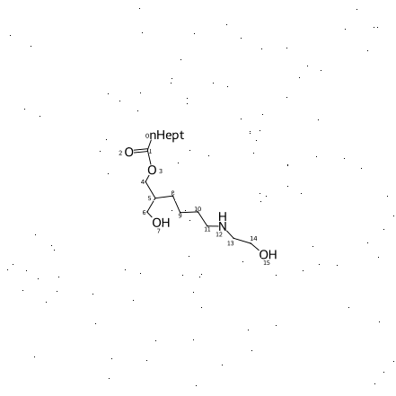 CCCCCCCC(=O)OCC(CO)CCCCNCCO